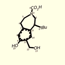 CC(C)(C)C1CN(C(=O)O)CCc2cc(O)c(CO)cc21